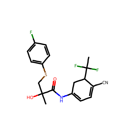 CC(O)(CSc1ccc(F)cc1)C(=O)NC1=CC=C(C#N)C(C(C)(F)F)C1